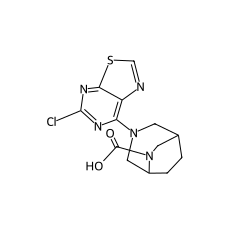 O=C(O)N1CC2CCC1CN(c1nc(Cl)nc3scnc13)C2